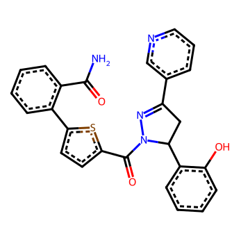 NC(=O)c1ccccc1-c1ccc(C(=O)N2N=C(c3cccnc3)CC2c2ccccc2O)s1